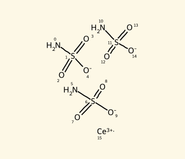 NS(=O)(=O)[O-].NS(=O)(=O)[O-].NS(=O)(=O)[O-].[Ce+3]